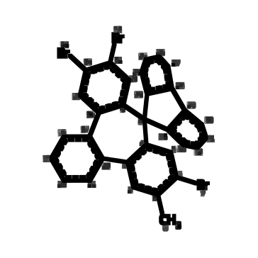 Cc1cc2c(cc1Br)C1(c3cc(Br)c(Br)cc3-c3ccccc3-2)c2ccccc2-c2ccccc21